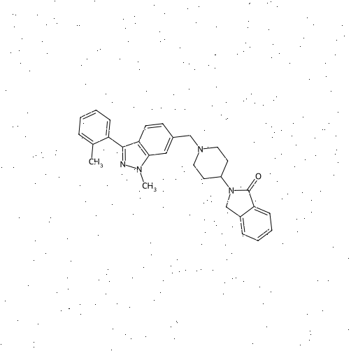 Cc1ccccc1-c1nn(C)c2cc(CN3CCC(N4Cc5ccccc5C4=O)CC3)ccc12